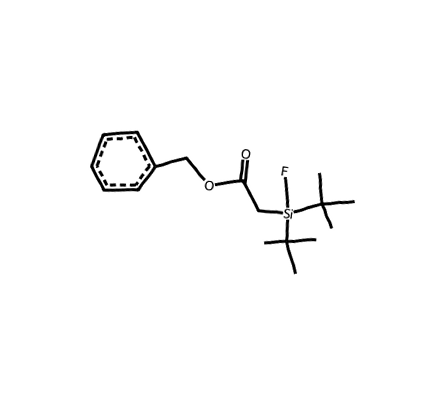 CC(C)(C)[Si](F)(CC(=O)OCc1ccccc1)C(C)(C)C